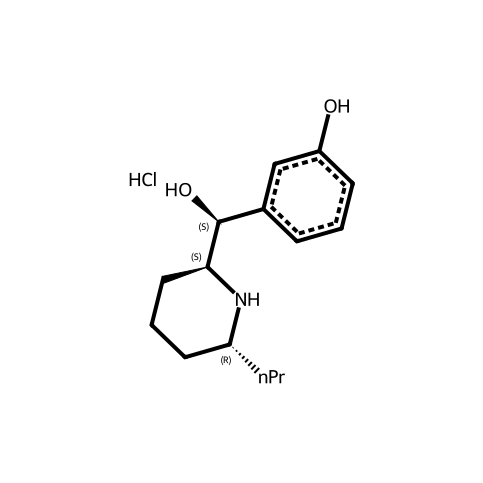 CCC[C@@H]1CCC[C@@H]([C@@H](O)c2cccc(O)c2)N1.Cl